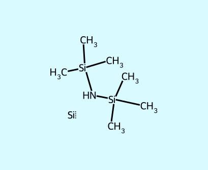 C[Si](C)(C)N[Si](C)(C)C.[Si]